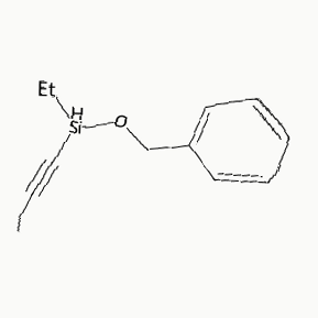 CC#C[SiH](CC)OCc1ccccc1